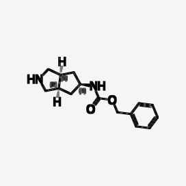 O=C(N[C@H]1C[C@H]2CNC[C@H]2C1)OCc1ccccc1